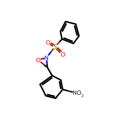 O=[N+]([O-])c1cccc(C2ON2S(=O)(=O)c2ccccc2)c1